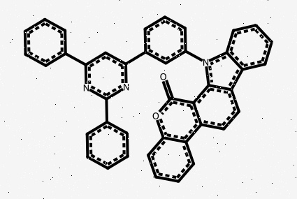 O=c1oc2ccccc2c2ccc3c4ccccc4n(-c4cccc(-c5cc(-c6ccccc6)nc(-c6ccccc6)n5)c4)c3c12